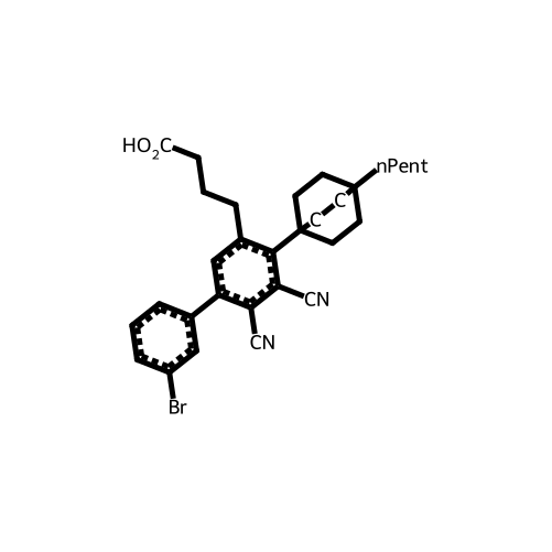 CCCCCC12CCC(c3c(CCCC(=O)O)cc(-c4cccc(Br)c4)c(C#N)c3C#N)(CC1)CC2